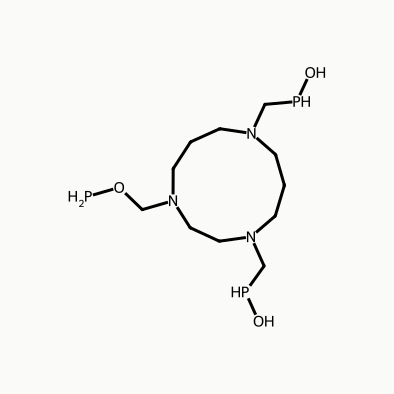 OPCN1CCCN(COP)CCN(CPO)CCC1